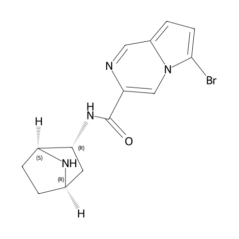 O=C(N[C@@H]1C[C@H]2CC[C@@H]1N2)c1cn2c(Br)ccc2cn1